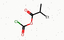 CCC(C)C(=O)OC(=O)Cl